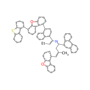 CC/C=C(/N=C(\C/C(C)=C\c1cccc2oc3ccccc3c12)c1cc2ccccc2c2ccccc12)c1ccc(-c2cccc3oc4c(-c5cccc6sc7ccccc7c56)cccc4c23)c2ccccc12